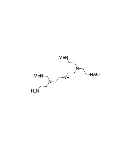 CNCCN(CCNC)CCNCCN(CCN)CNC